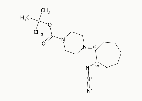 CC(C)(C)OC(=O)N1CCN([C@@H]2CCCCC[C@@H]2N=[N+]=[N-])CC1